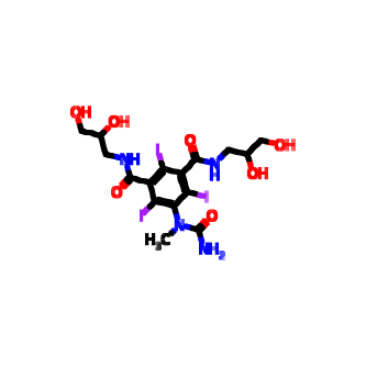 CN(C(N)=O)c1c(I)c(C(=O)NCC(O)CO)c(I)c(C(=O)NCC(O)CO)c1I